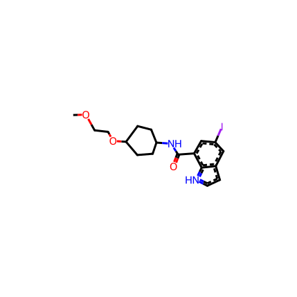 COCCOC1CCC(NC(=O)c2cc(I)cc3cc[nH]c23)CC1